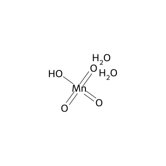 O.O.[O]=[Mn](=[O])(=[O])[OH]